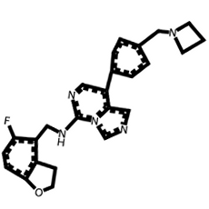 Fc1ccc2c(c1CNc1ncc(-c3ccc(CN4CCC4)cc3)c3cncn13)CCO2